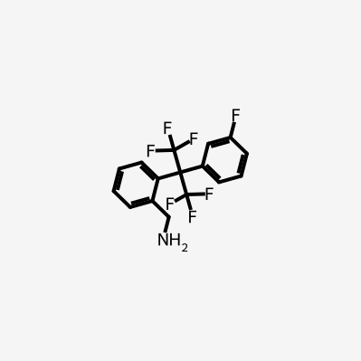 NCc1ccccc1C(c1cccc(F)c1)(C(F)(F)F)C(F)(F)F